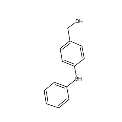 OCc1ccc(Bc2ccccc2)cc1